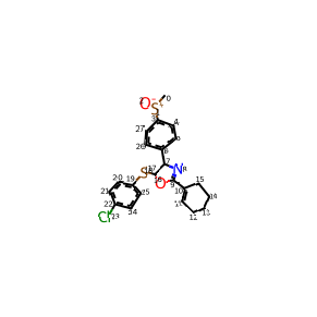 C[S+]([O-])c1ccc(C2N=C(C3=CCCCC3)OC2Sc2ccc(Cl)cc2)cc1